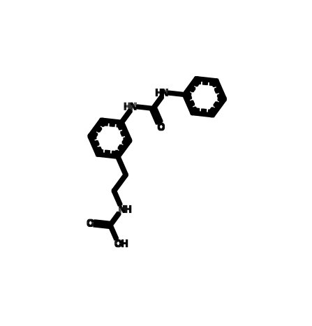 O=C(O)NCCc1cccc(NC(=O)Nc2ccccc2)c1